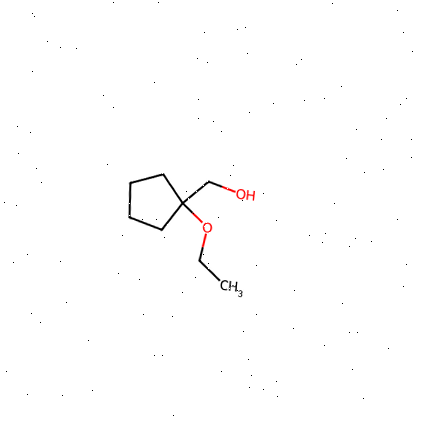 CCOC1(CO)CCCC1